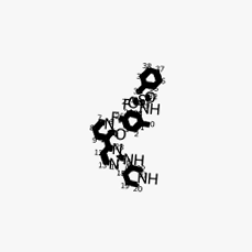 Cc1cc(Oc2ncccc2-c2ccnc(N[C@H]3CCCNC3)n2)c(F)c(F)c1NS(=O)(=O)Cc1ccccc1